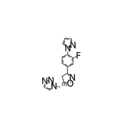 Fc1cc(C2=NO[C@H](Cn3ccnn3)C2)ccc1-n1cccn1